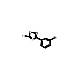 CCc1nc(-c2cccc(Br)c2)no1